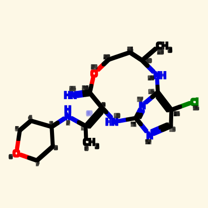 C/C(NC1CCOCC1)=C1\Nc2ncc(Cl)c(n2)NC(C)CCOC1=N